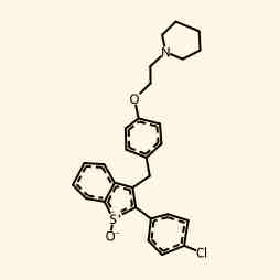 [O-][s+]1c(-c2ccc(Cl)cc2)c(Cc2ccc(OCCN3CCCCC3)cc2)c2ccccc21